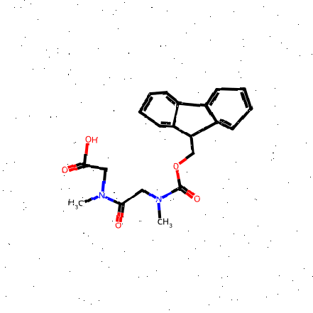 CN(CC(=O)O)C(=O)CN(C)C(=O)OCC1c2ccccc2-c2ccccc21